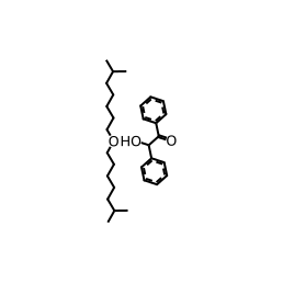 CC(C)CCCCCOCCCCCC(C)C.O=C(c1ccccc1)C(O)c1ccccc1